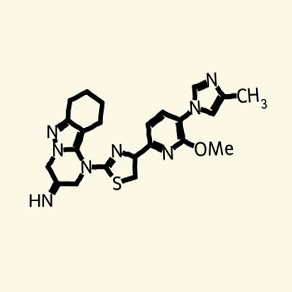 COc1nc(C2CSC(N3CC(=N)Cn4nc5c(c43)CCCC5)=N2)ccc1-n1cnc(C)c1